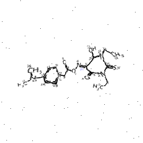 CCN1C(=O)/C(=N\OC(=O)C[n+]2ccc(N(C)C)cc2)C(O)N(CC)C1=S